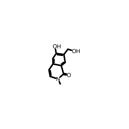 Cn1ccc2cc(O)c(CO)cc2c1=O